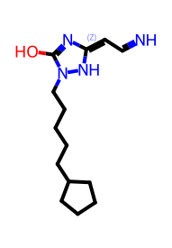 N=C/C=C1/N=C(O)N(CCCCCC2CCCC2)N1